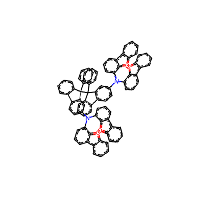 c1ccc(C2(C3(c4ccccc4)c4ccccc4-c4ccc(N(c5cccc6c5oc5ccccc56)c5cccc6c5oc5ccccc56)cc43)c3ccccc3-c3ccc(N(c4cccc5c4oc4ccccc45)c4cccc5c4oc4ccccc45)cc32)cc1